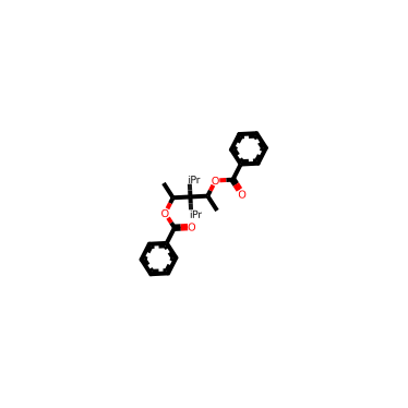 CC(C)C(C(C)C)(C(C)OC(=O)c1ccccc1)C(C)OC(=O)c1ccccc1